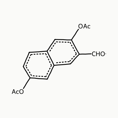 CC(=O)Oc1ccc2cc(OC(C)=O)c([C]=O)cc2c1